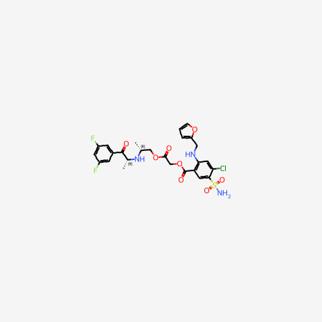 C[C@H](COC(=O)COC(=O)c1cc(S(N)(=O)=O)c(Cl)cc1NCc1ccco1)N[C@H](C)C(=O)c1cc(F)cc(F)c1